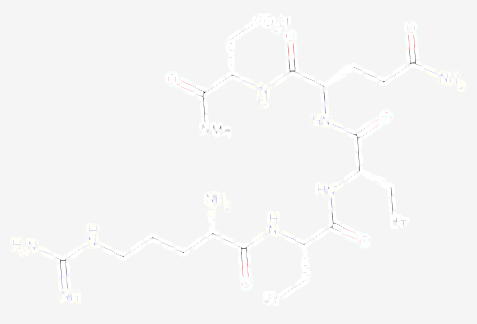 CNC(=O)[C@H](CC(=O)O)NC(=O)[C@H](CCC(N)=O)NC(=O)[C@H](CC(C)C)NC(=O)[C@H](CC(C)C)NC(=O)[C@@H](N)CCCNC(=N)N